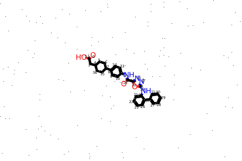 O=C(O)CC1CCC(c2ccc(NC(=O)c3nnc(Nc4ccccc4-c4ccccc4)o3)cc2)CC1